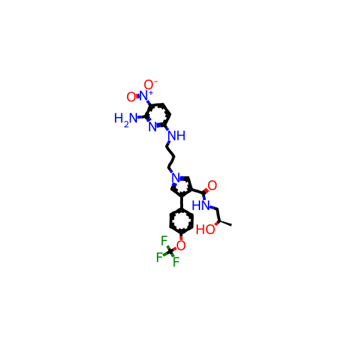 C[C@@H](O)CNC(=O)c1cn(CCCNc2ccc([N+](=O)[O-])c(N)n2)cc1-c1ccc(OC(F)(F)F)cc1